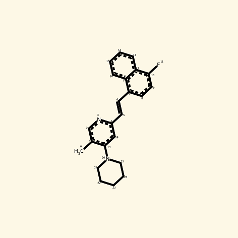 Cc1cnc(C=Cc2ccc(F)c3ccccc23)cc1N1CCCCC1